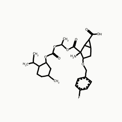 CC1CCC(C(C)C)C(OC(=O)OC(C)OC(=O)C2(N)C(OCc3ccc(F)cc3)CC3C(C(=O)O)C32)C1